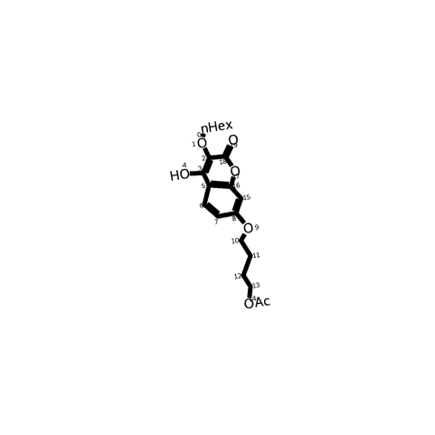 CCCCCCOc1c(O)c2ccc(OCCCCOC(C)=O)cc2oc1=O